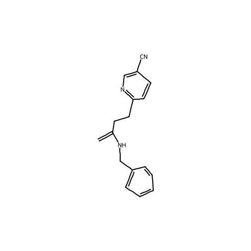 C=C(CCc1ccc(C#N)cn1)NCc1ccccc1